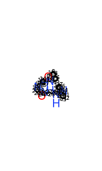 O=C(Nc1cccc2ccccc12)c1ccc(CN2CCC[C@H](C(=O)NCCCCNc3c4c(nc5ccccc35)CCCC4)C2)cc1